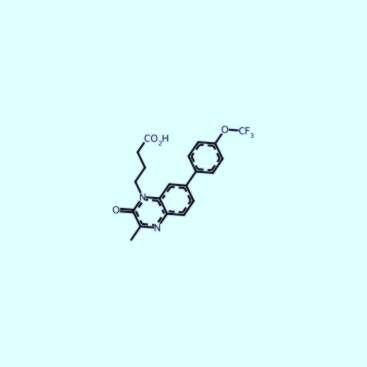 Cc1nc2ccc(-c3ccc(OC(F)(F)F)cc3)cc2n(CCCC(=O)O)c1=O